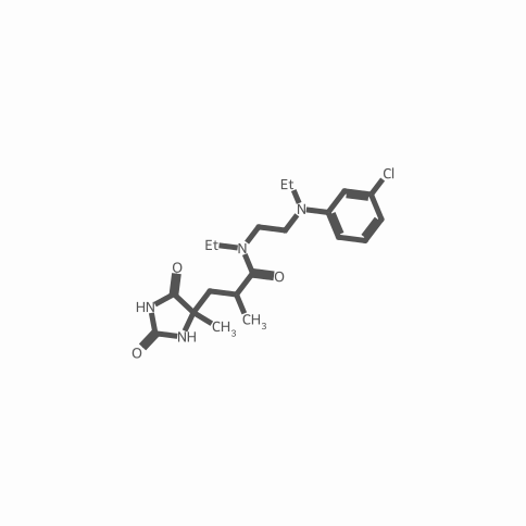 CCN(CCN(CC)c1cccc(Cl)c1)C(=O)C(C)CC1(C)NC(=O)NC1=O